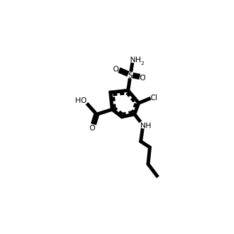 CCCCNc1cc(C(=O)O)cc(S(N)(=O)=O)c1Cl